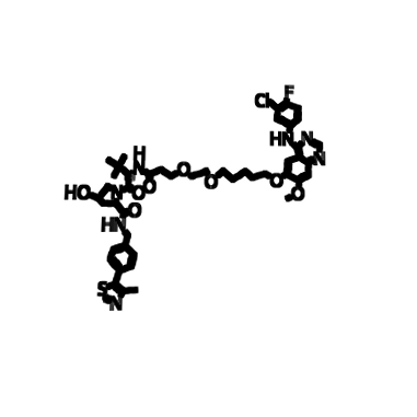 COc1cc2ncnc(Nc3ccc(F)c(Cl)c3)c2cc1OCCCCCOCCOCCC(=O)N[C@H](C(=O)N1CC(O)CC1C(=O)NCc1ccc(-c2scnc2C)cc1)C(C)(C)C